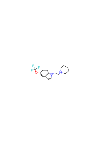 FC(F)(F)Oc1ccc2c(ccn2CCN2CCCCC2)c1